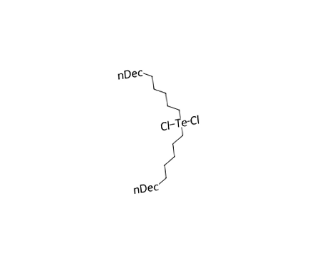 CCCCCCCCCCCCCCC[Te](Cl)(Cl)CCCCCCCCCCCCCCC